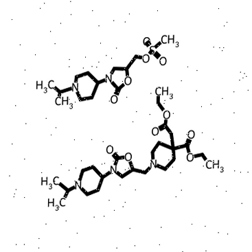 CC(C)N1CCC(N2CC(COS(C)(=O)=O)OC2=O)CC1.CCOC(=O)CC1(C(=O)OCC)CCN(CC2CN(C3CCN(C(C)C)CC3)C(=O)O2)CC1